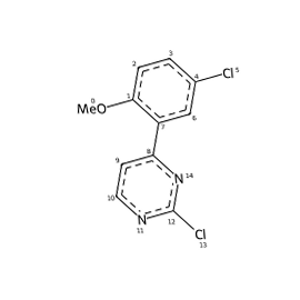 COc1ccc(Cl)cc1-c1ccnc(Cl)n1